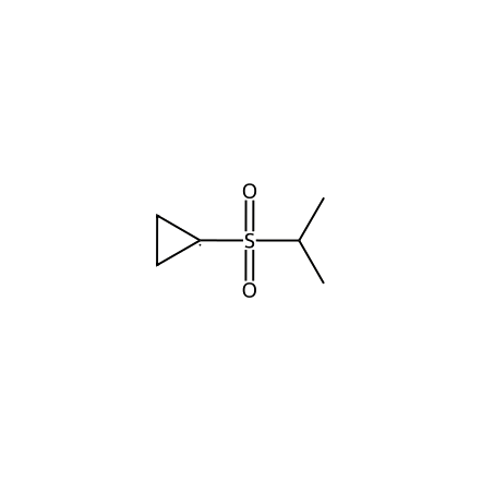 CC(C)S(=O)(=O)[C]1CC1